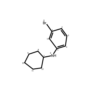 Brc1cccc(NC2CCCCC2)c1